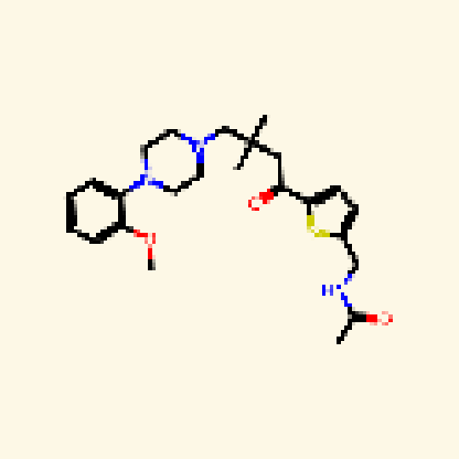 COc1ccccc1N1CCN(CC(C)(C)CC(=O)c2ccc(CNC(C)=O)s2)CC1